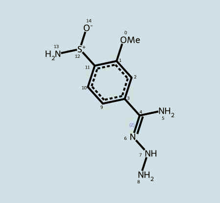 COc1cc(/C(N)=N/NN)ccc1[S+](N)[O-]